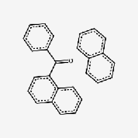 O=C(c1ccccc1)c1cccc2ccccc12.c1ccc2ccccc2c1